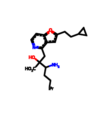 CC(C)CCC(N)C(O)(Cc1nccc2oc(CCC3CC3)cc12)C(=O)O